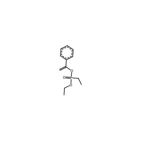 C=C(OP(=O)(CC)OCC)c1ccccc1